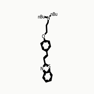 CCCCN(CCCC)CCCOc1ccc(C=Cc2nc3ccccc3s2)cc1